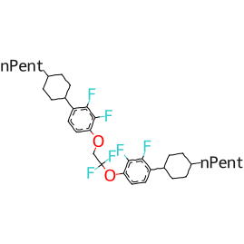 CCCCCC1CCC(c2ccc(OCC(F)(F)Oc3ccc(C4CCC(CCCCC)CC4)c(F)c3F)c(F)c2F)CC1